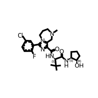 CN1CCCn2c(-c3cc(Cl)ccc3F)nc(C(=O)N[C@H](C(=O)N[C@H]3CCC[C@H]3O)C(C)(C)C)c2C1